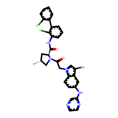 CC(=O)c1cn(CC(=O)N2C[C@H](F)C[C@H]2C(=O)Nc2cccc(-c3ccccc3Cl)c2F)c2ccc(Nc3cnccn3)cc12